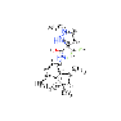 Cc1ccc(NC(=O)C2(C(F)F)C=CN(C)N2)c2c1C(C)(C)CC2C